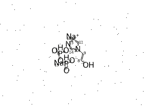 O=[PH]([O-])O[PH](=O)[O-].OC=Cn1ccnc1.[Na+].[Na+]